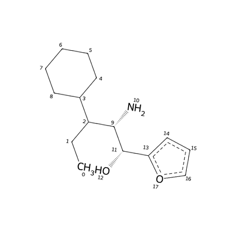 CCC(C1CCCCC1)[C@H](N)[C@@H](O)c1ccco1